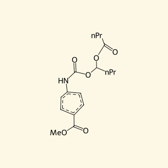 CCCC(=O)OC(CCC)OC(=O)Nc1ccc(C(=O)OC)cc1